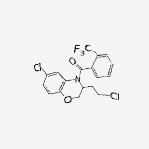 O=C(c1ccccc1C(F)(F)F)N1c2cc(Cl)ccc2OCC1CCCl